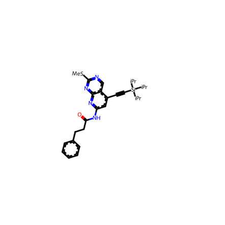 CSc1ncc2c(C#C[Si](C(C)C)(C(C)C)C(C)C)cc(NC(=O)CCc3ccccc3)nc2n1